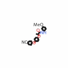 COc1cccc(NC(=O)C(C)Oc2ccc(Oc3ccc(C#N)cc3)cc2)c1